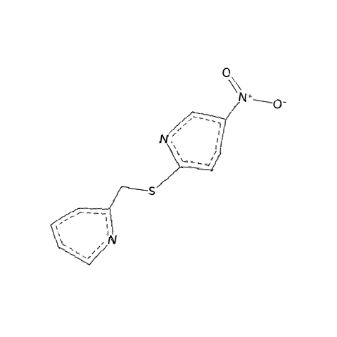 O=[N+]([O-])c1ccc(SCc2ccccn2)nc1